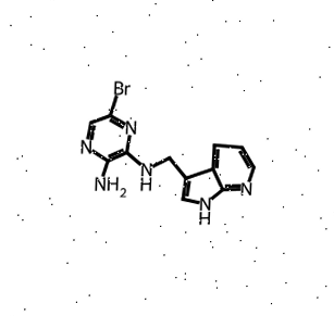 Nc1ncc(Br)nc1NCc1c[nH]c2ncccc12